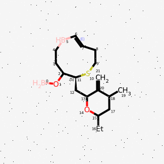 BOC1CCB/C=C/CCS[C@H]1CC1OC(CC)CC(C)C1=C